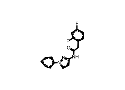 O=C(Cc1ccc(F)cc1F)Nc1ccn(-c2ccccc2)n1